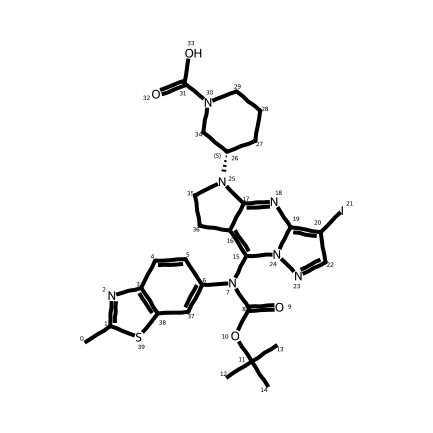 Cc1nc2ccc(N(C(=O)OC(C)(C)C)c3c4c(nc5c(I)cnn35)N([C@H]3CCCN(C(=O)O)C3)CC4)cc2s1